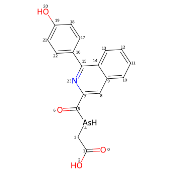 O=C(O)C[AsH]C(=O)c1cc2ccccc2c(-c2ccc(O)cc2)n1